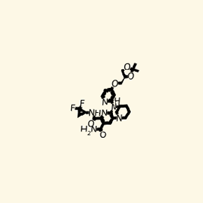 CC1(C)OC[C@H](COc2ccnc(N3c4nc(C(=O)NC5CC5(F)F)c(C(N)=O)cc4N4CCC[C@H]3C4)c2)O1